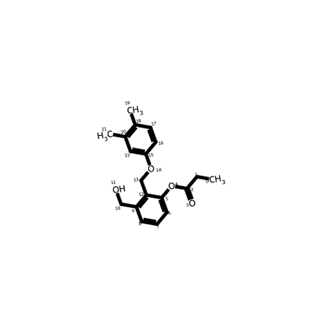 CCC(=O)Oc1cccc(CO)c1COc1ccc(C)c(C)c1